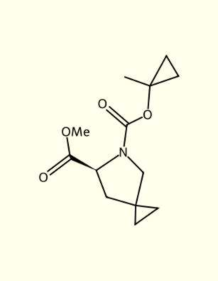 COC(=O)[C@@H]1CC2(CC2)CN1C(=O)OC1(C)CC1